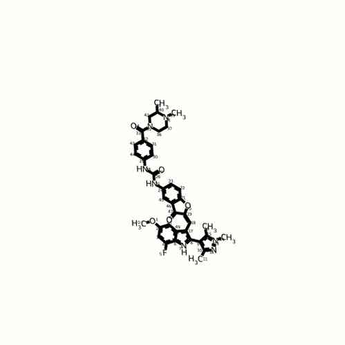 COc1cc(F)c2[nH]c(-c3c(C)nn(C)c3C)c(C=C3Oc4ccc(NC(=O)Nc5ccc(C(=O)N6CCN(C)C(C)C6)cc5)cc4C3=O)c2c1